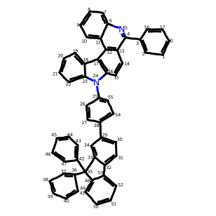 c1ccc(-c2nc3ccccc3c3c2ccc2c3c3ccccc3n2-c2ccc(-c3ccc4c(c3)C(c3ccccc3)(c3ccccc3)c3ccccc3-4)cc2)cc1